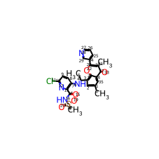 Cc1cc(C(C)Nc2ccc(Cl)nc2C(=O)NS(C)(=O)=O)c2oc(-c3cccnc3)c(C)c(=O)c2c1